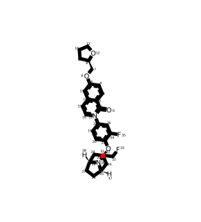 O=c1c2ccc(OC[C@H]3CCCO3)cc2ccn1-c1ccc(O[C@H]2C[C@H]3CC[C@@H](C2)N3CCF)c(F)c1